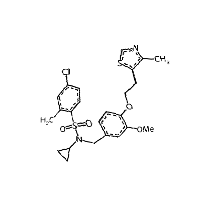 COc1cc(CN(C2CC2)S(=O)(=O)c2ccc(Cl)cc2C)ccc1OCCc1scnc1C